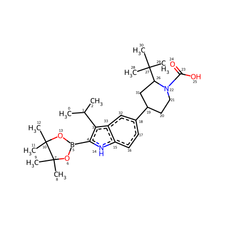 CC(C)c1c(B2OC(C)(C)C(C)(C)O2)[nH]c2ccc(C3CCN(C(=O)O)C(C(C)(C)C)C3)cc12